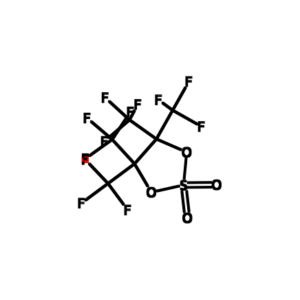 O=S1(=O)OC(C(F)(F)F)(C(F)(F)F)C(C(F)(F)F)(C(F)(F)F)O1